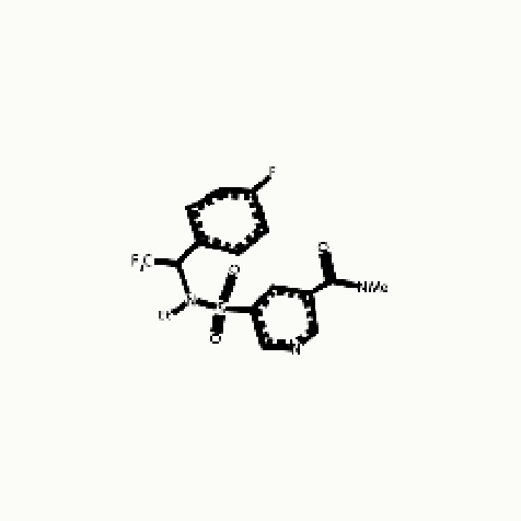 CCN(C(c1ccc(F)cc1)C(F)(F)F)S(=O)(=O)c1cncc(C(=O)NC)c1